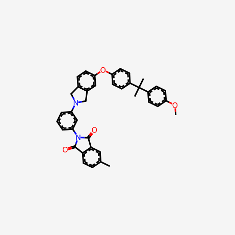 COc1ccc(C(C)(C)c2ccc(Oc3ccc4c(c3)CN(c3cccc(N5C(=O)c6ccc(C)cc6C5=O)c3)C4)cc2)cc1